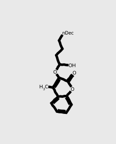 CCCCCCCCCCCCCC(O)Oc1c(C)c2ccccc2oc1=O